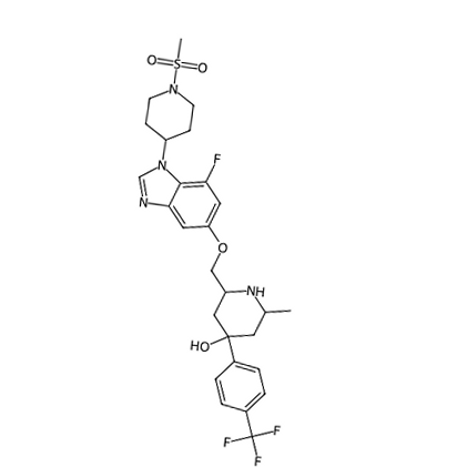 CC1CC(O)(c2ccc(C(F)(F)F)cc2)CC(COc2cc(F)c3c(c2)ncn3C2CCN(S(C)(=O)=O)CC2)N1